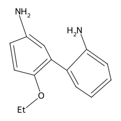 CCOc1ccc(N)cc1-c1ccccc1N